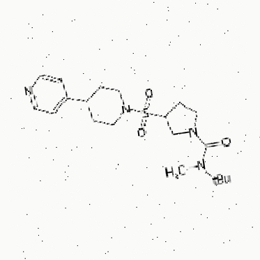 CN(C(=O)N1CCC(S(=O)(=O)N2CCC(c3ccncc3)CC2)C1)C(C)(C)C